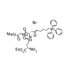 CCOC(=O)[C@@H](N)CCC(=O)N[C@@H](C[SH]=CCCCC[P+](c1ccccc1)(c1ccccc1)c1ccccc1)C(=O)NCC(=O)OC.[Br-]